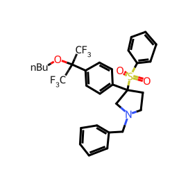 CCCCOC(c1ccc(C2(S(=O)(=O)c3ccccc3)CCN(Cc3ccccc3)C2)cc1)(C(F)(F)F)C(F)(F)F